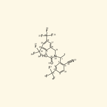 CC(c1cc(C(F)(F)F)ccc1C#N)N(Cc1cc(C(F)(F)F)cc(C(F)(F)F)c1)C(=O)O